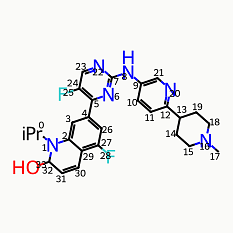 CC(C)N1c2cc(-c3nc(Nc4ccc(C5CCN(C)CC5)nc4)ncc3F)cc(F)c2C=CC1O